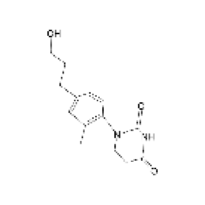 Cc1cc(CCCO)ccc1N1CCC(=O)NC1=O